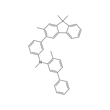 Cc1cc2c(cc1-c1cccc(N(C)c3cc(-c4ccccc4)ccc3C)c1)-c1ccccc1C2(C)C